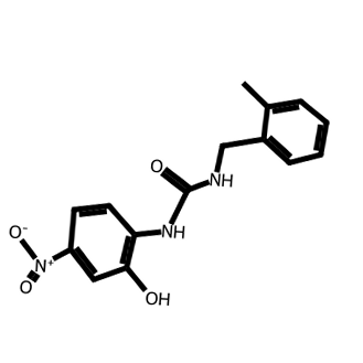 Cc1ccccc1CNC(=O)Nc1ccc([N+](=O)[O-])cc1O